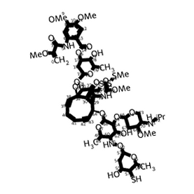 C=C(OC)C(=O)Nc1cc(OC)c(OC)cc1C(=O)OC1CC(O[C@@H]2C(=O)C(NC(=O)OC)=C3/C(=C\CSSSC)[C@]2(O)C#C/C=C\C#C[C@@H]3OC2OC(C)C(NOC3CC(O)C(S)C(C)O3)C(O)C2OC2CC(OC)C(NC(C)C)CO2)OC(C)C1O